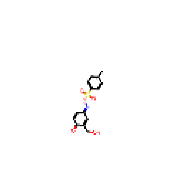 Cc1ccc(S(=O)(=O)ON=C2C=CC(=O)C(CO)=C2)cc1